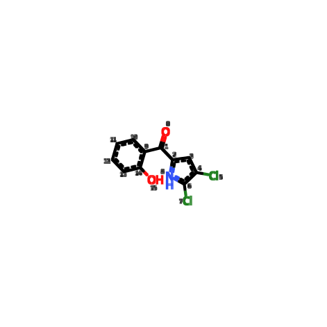 O=C(c1cc(Cl)c(Cl)[nH]1)c1ccccc1O